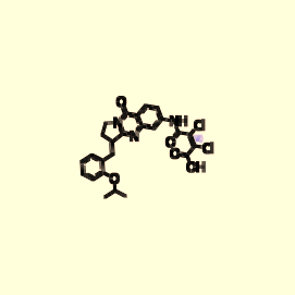 CC(C)Oc1ccccc1C=C1CCn2c1nc1cc(NC(=O)/C(Cl)=C(/Cl)C(=O)O)ccc1c2=O